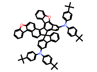 CC(C)(C)c1ccc(N(c2ccc(C(C)(C)C)cc2)c2ccc3c(c2)-c2ccccc2C32c3ccc4c(ccc5oc6ccccc6c54)c3-c3c2c2ccc(N(c4ccc(C(C)(C)C)cc4)c4ccc(C(C)(C)C)cc4)cc2c2oc4ccccc4c32)cc1